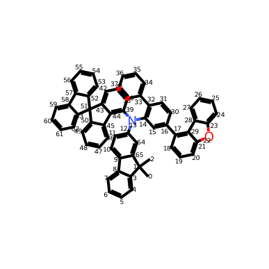 CC1(C)c2ccccc2-c2ccc(N(c3cc(-c4cccc5oc6ccccc6c45)ccc3-c3ccccc3)c3cccc4c3-c3ccccc3C43c4ccccc4-c4ccccc43)cc21